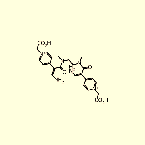 CN(CCN(C)C(=O)/C(=C\N)c1cc[n+](CC(=O)O)cc1)C(=O)/C(=C\N)c1cc[n+](CC(=O)O)cc1